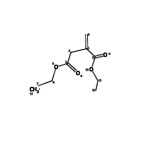 C=C(CC(=O)OCC)C(=O)OCC.[CH3]